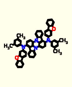 Cc1cc(C)cc(N(c2ccc3c(c2)oc2ccccc23)c2ccc3c4c2c2ccccc2n4c2ccc(N(c4cc(C)cc(C)c4)c4ccc5c(c4)oc4ccccc45)c4c5ccccc5n3c42)c1